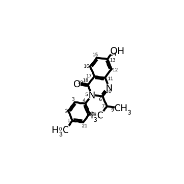 Cc1ccc(-n2c(C(C)C)nc3cc(O)ccc3c2=O)cc1